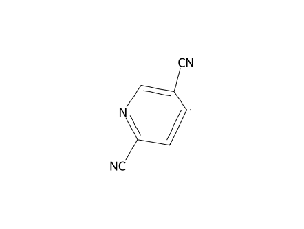 N#Cc1[c]cc(C#N)nc1